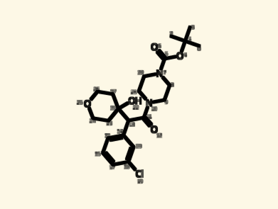 CC(C)(C)OC(=O)N1CCN(C(=O)C(c2cccc(Cl)c2)C2(O)CCOCC2)CC1